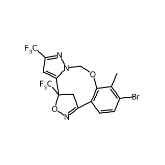 Cc1c(Br)ccc2c1OCn1nc(C(F)(F)F)cc1C1(C(F)(F)F)CC2=NO1